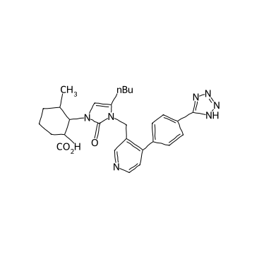 CCCCc1cn(C2C(C)CCCC2C(=O)O)c(=O)n1Cc1cnccc1-c1ccc(-c2nnn[nH]2)cc1